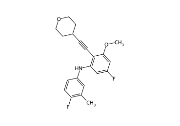 COc1cc(F)cc(Nc2ccc(F)c(C)c2)c1C#CC1CCOCC1